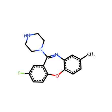 Cc1ccc2c(c1)N=C(N1CCNCC1)c1cc(F)ccc1O2